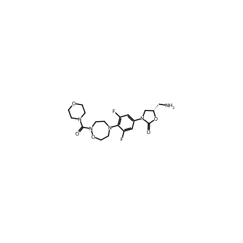 NC[C@H]1CN(c2cc(F)c(N3CCON(C(=O)N4CCOCC4)CC3)c(F)c2)C(=O)O1